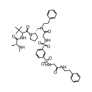 CN[C@@H](C)C(=O)N[C@H](C(=O)N1CCC[C@H]1CN(CCc1ccccc1)C(=O)CNS(=O)(=O)c1cccc(S(=O)(=O)NCC(=O)NCCc2ccccc2)c1)C(C)(C)C